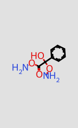 NOC(=O)C(O)(ON)c1ccccc1